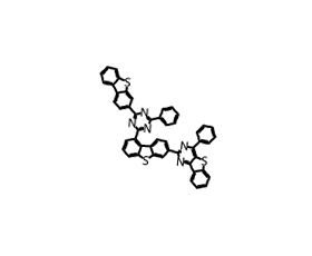 c1ccc(-c2nc(-c3ccc4c(c3)sc3ccccc34)nc(-c3cccc4sc5cc(-c6nc(-c7ccccc7)c7sc8ccccc8c7n6)ccc5c34)n2)cc1